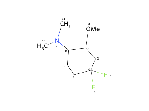 COC1CC(F)(F)CCC1N(C)C